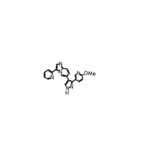 COc1ccc(-c2n[nH]cc2-c2ccc3ncc(-c4ccccn4)n3c2)cn1